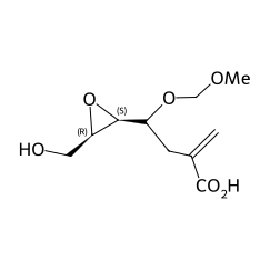 C=C(CC(OCOC)[C@@H]1O[C@@H]1CO)C(=O)O